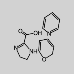 C1=CCOC=C1.O=C(O)C1=NCCN1.c1ccncc1